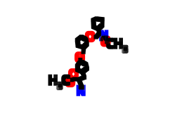 CO/N=C(\COc1cccc(COc2ccc(CC(C#N)C(=O)OC)cc2)c1)c1ccccc1